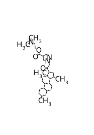 CC1CCC2C(CCC3C2CCC2(C)C(C(=O)Cn4cc(C(=O)OCCN(C)C)cn4)CC(C)C32)C1